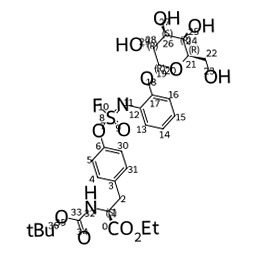 CCOC(=O)[C@H](Cc1ccc(OS(=O)(F)=Nc2ccccc2O[C@H]2O[C@H](CO)[C@H](O)[C@H](O)[C@H]2O)cc1)NC(=O)OC(C)(C)C